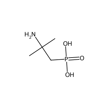 CC(C)(N)CP(=O)(O)O